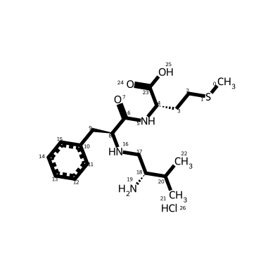 CSCC[C@H](NC(=O)[C@H](Cc1ccccc1)NC[C@@H](N)C(C)C)C(=O)O.Cl